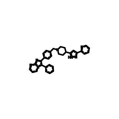 c1ccc(-c2c(-c3ccc(CN4CCC(c5cc(-c6ccccn6)n[nH]5)CC4)cc3)nc3ncccn23)cc1